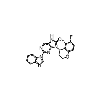 O=c1[nH]c2cnc(-n3cnc4ccccc43)nc2n1[C@@H]1CCOc2ccc(F)c(F)c21